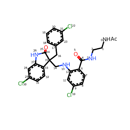 CC(=O)NCCNC(=O)c1ccc(Cl)cc1NCC1(Cc2cccc(Cl)c2)C(=O)Nc2cc(Cl)ccc21